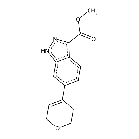 COC(=O)c1n[nH]c2cc(C3=CCOCC3)ccc12